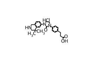 CC1(C)CNCc2ccc(N3CCN(c4ccc(CCC(=O)O)cc4)C3=O)cc21.Cl